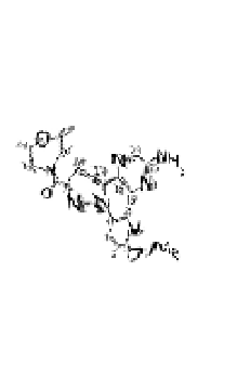 COc1ccc(-n2nc(C(=O)N3CCOCC3)cc2-c2cnc(N)cn2)cn1